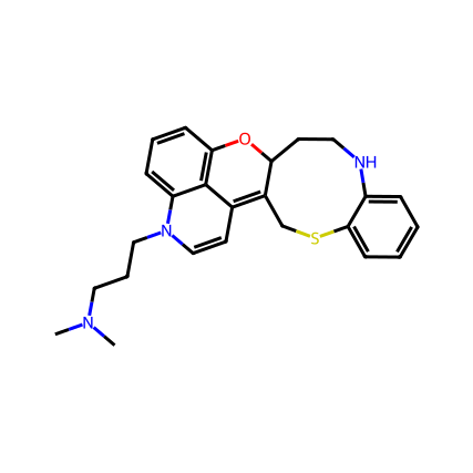 CN(C)CCCN1C=CC2=C3CSc4ccccc4NCCC3Oc3cccc1c32